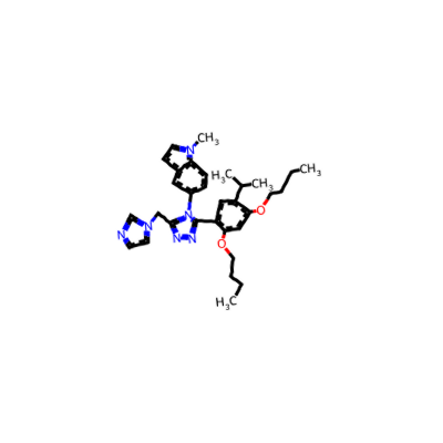 CCCCOc1cc(OCCCC)c(C(C)C)cc1-c1nnc(Cn2ccnc2)n1-c1ccc2c(ccn2C)c1